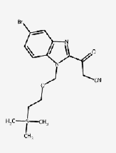 CS(C)(C)CCOCn1c(C(=O)CC#N)nc2cc(Br)ccc21